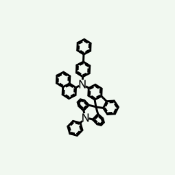 c1ccc(-c2ccc(N(c3ccc4c(c3)C3(c5ccccc5-4)c4ccccc4N(c4ccccc4)c4ccccc43)c3cccc4ccccc34)cc2)cc1